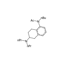 CCCCN(C(C)=O)c1cccc2c1CCC(N(CCC)CCC)C2